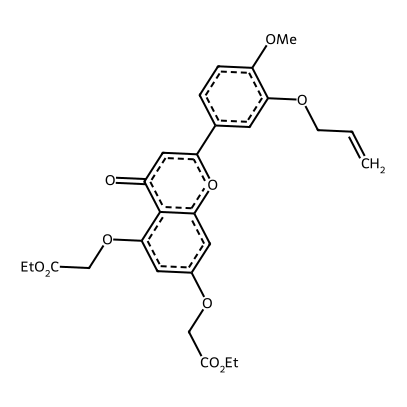 C=CCOc1cc(-c2cc(=O)c3c(OCC(=O)OCC)cc(OCC(=O)OCC)cc3o2)ccc1OC